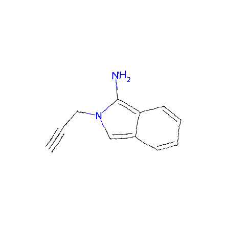 C#CCn1cc2ccccc2c1N